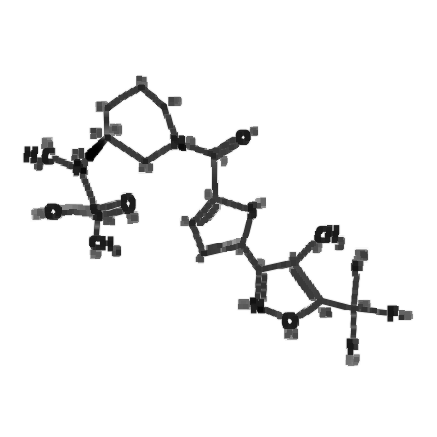 Cc1c(-c2ccc(C(=O)N3CCC[C@H](N(C)S(C)(=O)=O)C3)s2)noc1C(F)(F)F